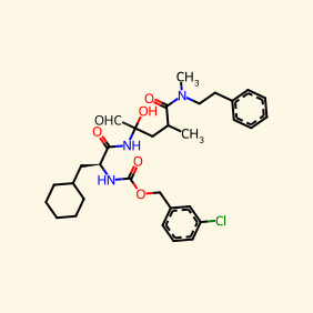 CC(CC(O)(C=O)NC(=O)[C@H](CC1CCCCC1)NC(=O)OCc1cccc(Cl)c1)C(=O)N(C)CCc1ccccc1